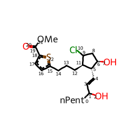 CCCCCC(O)/C=C/[C@H]1[C@H](O)CC(Cl)[C@@H]1CCCc1ccc(C(=O)OC)s1